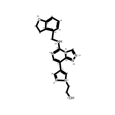 OCCn1cc(-c2cnc(NCc3cccc4c3CCO4)n3cnnc23)cn1